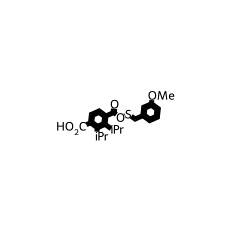 COc1cccc(CSOC(=O)c2ccc(C(=O)O)c(C(C)C)c2C(C)C)c1